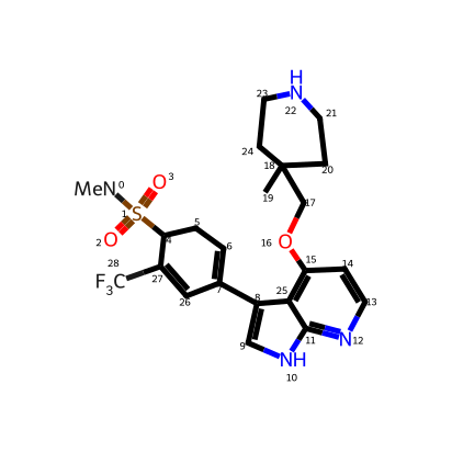 CNS(=O)(=O)C1CC=C(c2c[nH]c3nccc(OCC4(C)CCNCC4)c23)C=C1C(F)(F)F